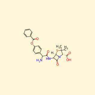 CC1(C)S[C@@H]2C(NC(=O)C(N)c3ccc(OC(=O)c4ccccc4)cc3)C(=O)N2[C@H]1C(=O)O